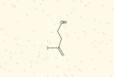 C=C(I)CCO